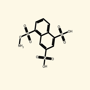 NOS(=O)(=O)c1cccc2c(S(=O)(=O)O)cc(S(=O)(=O)O)cc12